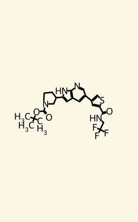 CC(C)(C)OC(=O)N1CCCC(c2cc3cc(-c4csc(C(=O)NCC(F)(F)F)c4)cnc3[nH]2)C1